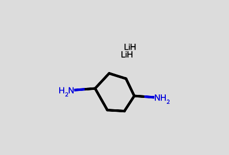 NC1CCC(N)CC1.[LiH].[LiH]